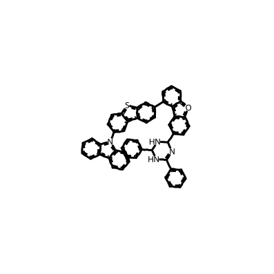 c1ccc(C2=NC(c3ccc4oc5cccc(-c6ccc7c(c6)sc6ccc(-n8c9ccccc9c9ccccc98)cc67)c5c4c3)NC(c3ccccc3)N2)cc1